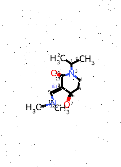 CC(C)N1CCC(=O)/C(=C\N(C)C)C1=O